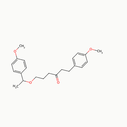 COc1ccc(CCC(=O)CCCOC(C)c2ccc(OC)cc2)cc1